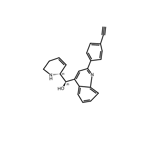 C#Cc1ccc(-c2cc([C@@H](O)[C@H]3C=CCCN3)c3ccccc3n2)cc1